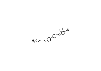 CCCCCCc1ccc(-c2ccc(COc3ccc(C#N)c(F)c3F)cc2)cc1